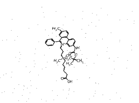 Cc1ccc2c(c1)c(-c1ccccc1)[n+](CCC[N+](C)(C)CCCCCC(=O)O)c1cc(NC(=O)OC(C)(C)C)ccc21